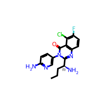 CCC[C@H](N)c1nc2ccc(F)c(Cl)c2c(=O)n1-c1ccc(N)nc1